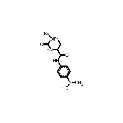 CC(C)CC(NC(=O)OC(C)(C)C)C(=O)Nc1ccc(N(C)C)cc1